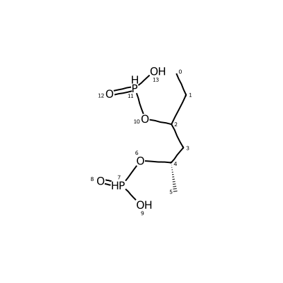 CCC(C[C@H](C)O[PH](=O)O)O[PH](=O)O